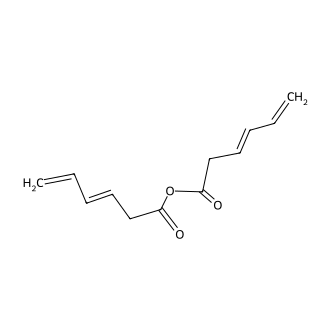 C=CC=CCC(=O)OC(=O)CC=CC=C